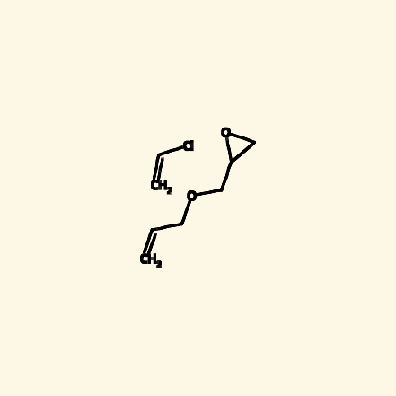 C=CCOCC1CO1.C=CCl